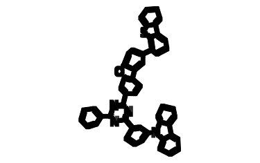 c1ccc(-c2nc(-c3cccc(-n4c5ccccc5c5ccccc54)c3)nc(-c3ccc4c(c3)oc3ccc(-c5cccc6c5sc5ccccc56)cc34)n2)cc1